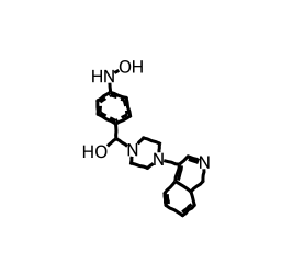 ONc1ccc(C(O)N2CCN(C3=C4C=CC=CC4CN=C3)CC2)cc1